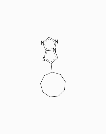 c1nc2sc(C3CCCCCCCC3)cn2n1